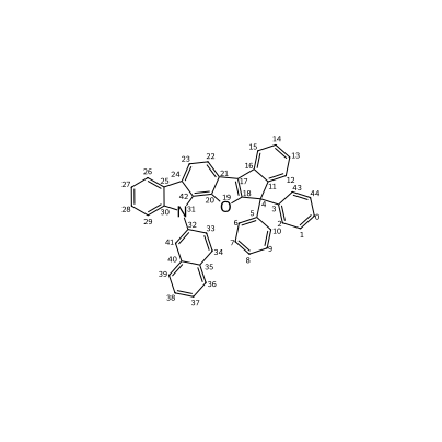 c1ccc(C2(c3ccccc3)c3ccccc3-c3c2oc2c3ccc3c4ccccc4n(-c4ccc5ccccc5c4)c32)cc1